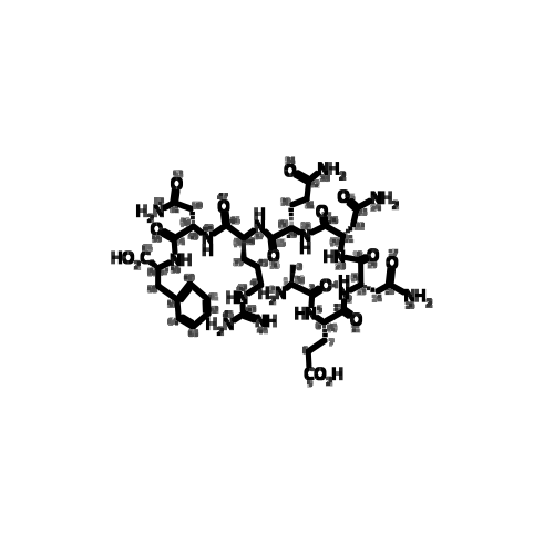 C[C@H](N)C(=O)N[C@@H](CCC(=O)O)C(=O)N[C@@H](CC(N)=O)C(=O)N[C@@H](CC(N)=O)C(=O)N[C@@H](CCC(N)=O)C(=O)N[C@@H](CCCNC(=N)N)C(=O)N[C@@H](CC(N)=O)C(=O)N[C@@H](Cc1ccccc1)C(=O)O